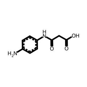 Nc1ccc(NC(=O)CC(=O)O)cc1